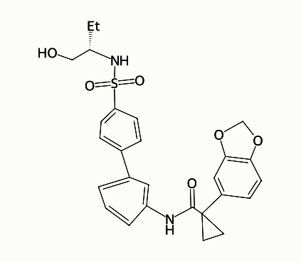 CC[C@@H](CO)NS(=O)(=O)c1ccc(-c2cccc(NC(=O)C3(c4ccc5c(c4)OCO5)CC3)c2)cc1